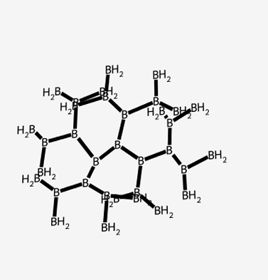 BB(B)B(B(B)B)B(B(B)B)B(B(B(B)B)B(B)B)B(B(B(B)B)B(B)B)B(B(B)B)B(B)B